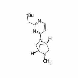 CN1C[C@@H]2C[C@H]1CN2c1ccnc(CC(C)(C)C)n1